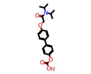 CC(C)N(C(=O)COc1ccc(-c2ccc(OC(=O)O)cc2)cc1)C(C)C